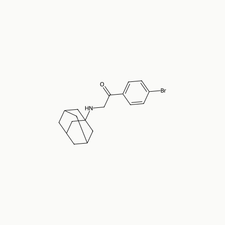 O=C(CNC12CC3CC(CC(C3)C1)C2)c1ccc(Br)cc1